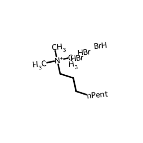 Br.Br.Br.CCCCCCCC[N+](C)(C)C